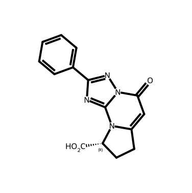 O=C(O)[C@H]1CCc2cc(=O)n3nc(-c4ccccc4)nc3n21